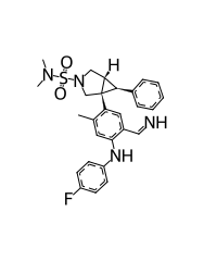 Cc1cc(Nc2ccc(F)cc2)c(C=N)cc1[C@@]12CN(S(=O)(=O)N(C)C)C[C@@H]1[C@H]2c1ccccc1